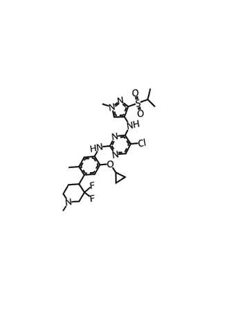 Cc1cc(Nc2ncc(Cl)c(Nc3cn(C)nc3S(=O)(=O)C(C)C)n2)c(OC2CC2)cc1C1CCN(C)CC1(F)F